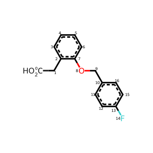 O=C(O)Cc1ccccc1OCc1ccc(F)cc1